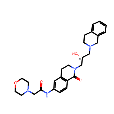 O=C(CN1CCOCC1)Nc1ccc2c(c1)CCN(C[C@H](O)CN1CCc3ccccc3C1)C2=O